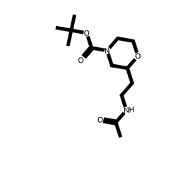 CC(=O)NCCC1CN(C(=O)OC(C)(C)C)CCO1